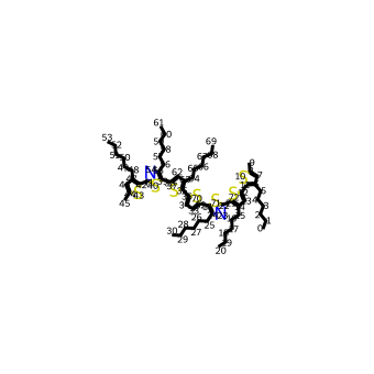 CCCCCCc1cc(C)sc1-c1cc(CCCCCC)c(-c2nc(CCCCCC)c(-c3ccc(-c4sc(-c5sc(-c6sc(C)cc6CCCCCC)nc5CCCCCC)cc4CCCCCC)s3)s2)s1